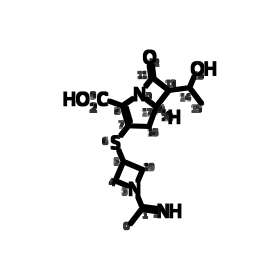 CC(=N)N1CC(SC2=C(C(=O)O)N3C(=O)C(C(C)O)[C@H]3C2)C1